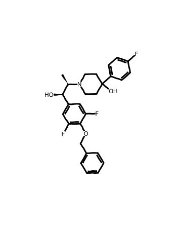 C[C@H]([C@H](O)c1cc(F)c(OCc2ccccc2)c(F)c1)N1CCC(O)(c2ccc(F)cc2)CC1